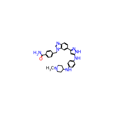 CN1CCC(Nc2ccc(Nc3cc(-c4ccc5ncn(Cc6ccc(C(N)=O)cc6)c5c4)n[nH]3)cc2)CC1